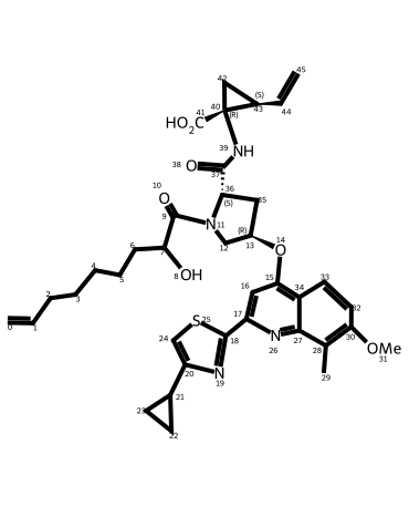 C=CCCCCCC(O)C(=O)N1C[C@H](Oc2cc(-c3nc(C4CC4)cs3)nc3c(C)c(OC)ccc23)C[C@H]1C(=O)N[C@]1(C(=O)O)C[C@H]1C=C